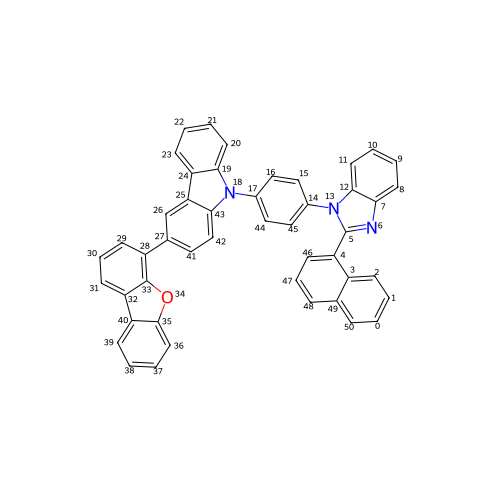 c1ccc2c(-c3nc4ccccc4n3-c3ccc(-n4c5ccccc5c5cc(-c6cccc7c6oc6ccccc67)ccc54)cc3)cccc2c1